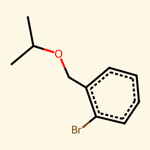 C[C](C)OCc1ccccc1Br